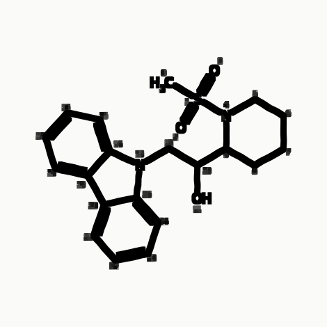 CS(=O)(=O)N1CCCCC1C(O)Cn1c2ccccc2c2ccccc21